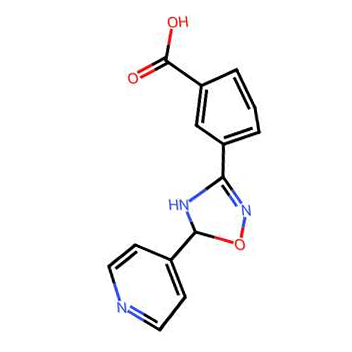 O=C(O)c1cccc(C2=NOC(c3ccncc3)N2)c1